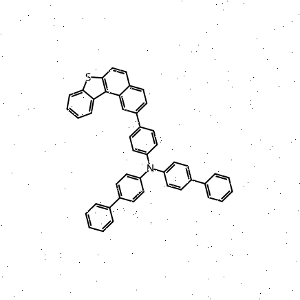 c1ccc(-c2ccc(N(c3ccc(-c4ccccc4)cc3)c3ccc(-c4ccc5ccc6sc7ccccc7c6c5c4)cc3)cc2)cc1